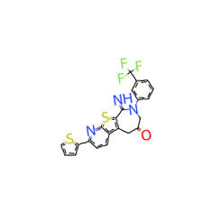 N=C1c2sc3nc(-c4cccs4)ccc3c2CC(=O)CN1c1cccc(C(F)(F)F)c1